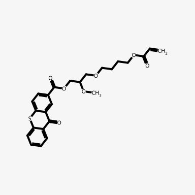 C=CC(=O)OCCCCOCC(COC(=O)c1ccc2sc3ccccc3c(=O)c2c1)OC